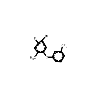 Cc1cc(F)c(Br)cc1Oc1cccc(C(F)(F)F)c1